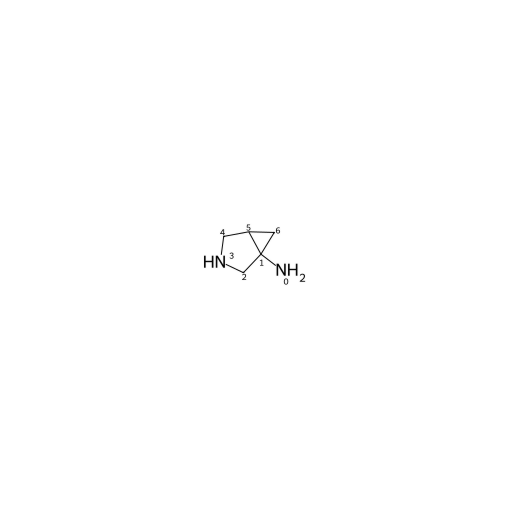 NC12CNCC1C2